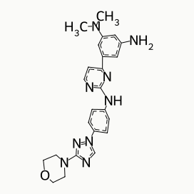 CN(C)c1cc(N)cc(-c2ccnc(Nc3ccc(-n4cnc(N5CCOCC5)n4)cc3)n2)c1